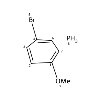 COc1ccc(Br)cc1.P